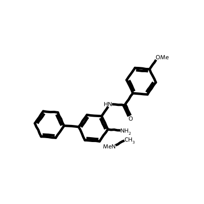 CNC.COc1ccc(C(=O)Nc2cc(-c3ccccc3)ccc2N)cc1